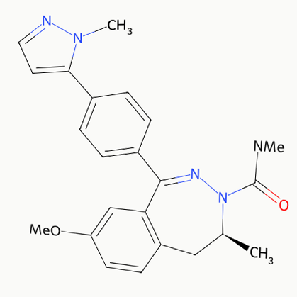 CNC(=O)N1N=C(c2ccc(-c3ccnn3C)cc2)c2cc(OC)ccc2C[C@@H]1C